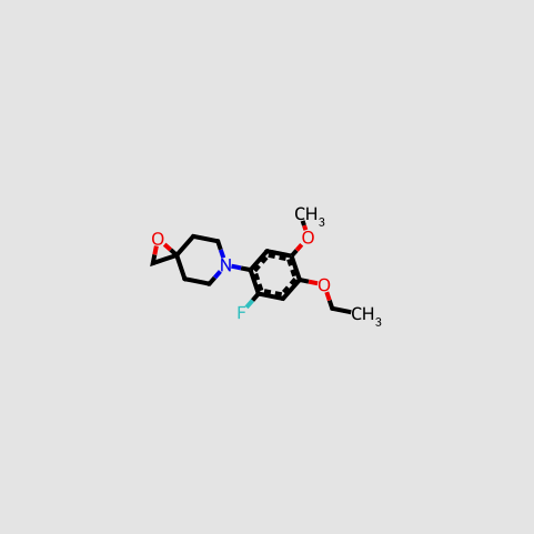 CCOc1cc(F)c(N2CCC3(CC2)CO3)cc1OC